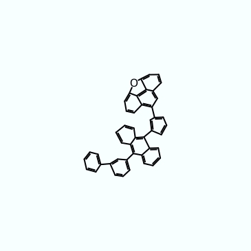 c1ccc(-c2cccc(-c3c4ccccc4c(-c4cccc(-c5cc6cccc7oc8cccc5c8c67)c4)c4ccccc34)c2)cc1